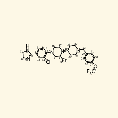 CC[C@H]1CN(c2ncc(C3=NCCN3)cc2Cl)CCN1C1CCN(Cc2ccc(OC(F)(F)F)cc2)CC1